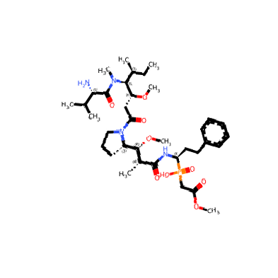 CC[C@H](C)[C@@H]([C@@H](CC(=O)N1CCC[C@H]1[C@H](OC)[C@@H](C)C(=O)N[C@@H](CCc1ccccc1)P(=O)(O)CC(=O)OC)OC)N(C)C(=O)[C@@H](N)C(C)C